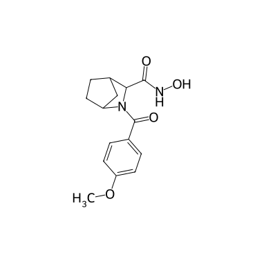 COc1ccc(C(=O)N2C3CCC(C3)C2C(=O)NO)cc1